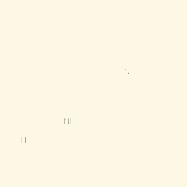 C=C(/C=C(\C=C/NC1=CC2C=CC=C[C@H]2C=C1)c1ccc2c(c1)c1c3c(ccc1n2-c1cccc2ccccc12)-c1ccccc1C3(C)C)c1ccccc1